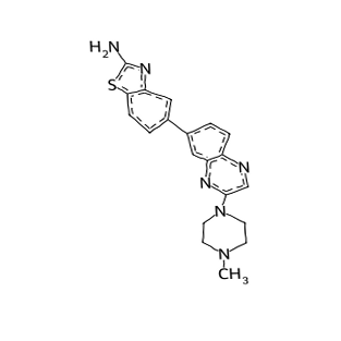 CN1CCN(c2cnc3ccc(-c4ccc5sc(N)nc5c4)cc3n2)CC1